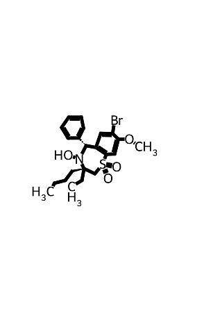 CCCC[C@]1(CC)CS(=O)(=O)c2cc(OC)c(Br)cc2[C@@H](c2ccccc2)N1O